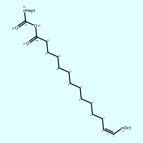 CCCCCCCC/C=C\CCCCCCCCCCCC(=O)OC(=O)CCCCCCC